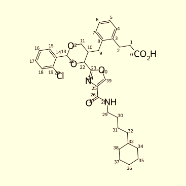 O=C(O)CCc1ccccc1CC1COC(c2ccccc2Cl)OC1c1nc(C(=O)NCCCCC2CCCCC2)co1